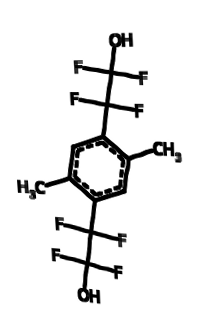 Cc1cc(C(F)(F)C(O)(F)F)c(C)cc1C(F)(F)C(O)(F)F